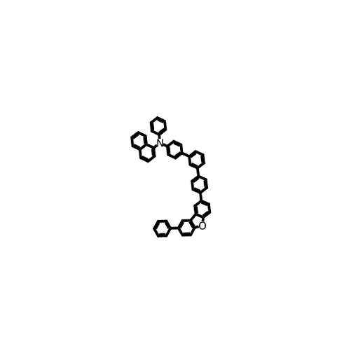 c1ccc(-c2ccc3oc4ccc(-c5ccc(-c6cccc(-c7ccc(N(c8ccccc8)c8cccc9ccccc89)cc7)c6)cc5)cc4c3c2)cc1